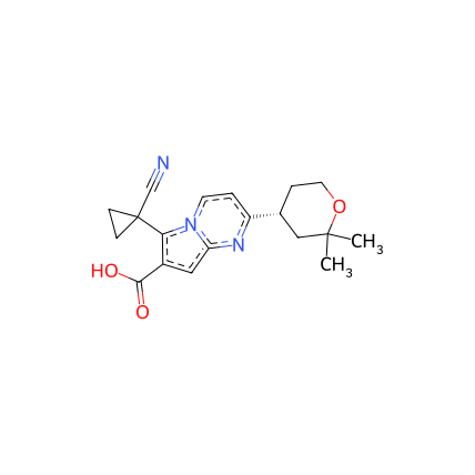 CC1(C)C[C@H](c2ccn3c(C4(C#N)CC4)c(C(=O)O)cc3n2)CCO1